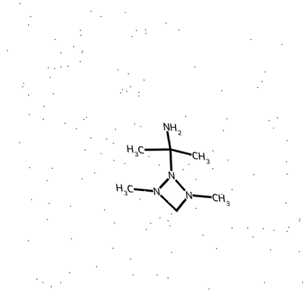 CN1CN(C)N1C(C)(C)N